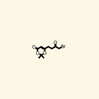 CC1(C)OC(=O)C=C(CCC(=O)CBr)O1